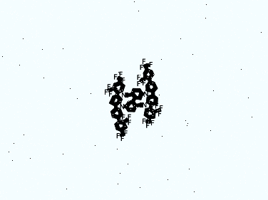 N#Cc1ccc(-n2c3cc(-c4ccc(C(F)(F)F)cc4C(F)(F)F)ccc3c3ccc(-c4ccc(C(F)(F)F)cc4C(F)(F)F)cc32)cc1-c1cc(-n2c3cc(-c4ccc(C(F)(F)F)cc4C(F)(F)F)ccc3c3ccc(-c4ccc(C(F)(F)F)cc4C(F)(F)F)cc32)ccc1C#N